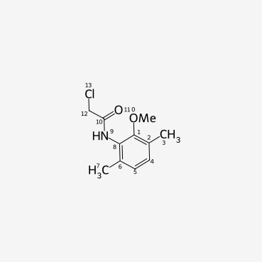 COc1c(C)ccc(C)c1NC(=O)CCl